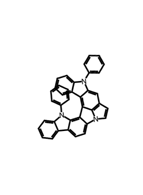 c1ccc(-n2c3ccccc3c3c4c5c6c(ccc5n5ccc(cc32)c45)c2ccccc2n6-c2ccccc2)cc1